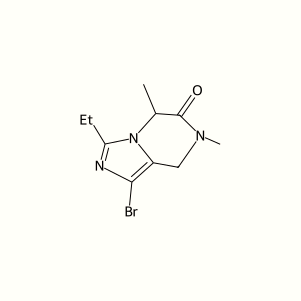 CCc1nc(Br)c2n1C(C)C(=O)N(C)C2